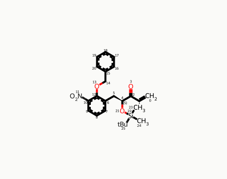 C=CC(=O)[C@H](Cc1cccc([N+](=O)[O-])c1OCc1ccccc1)O[Si](C)(C)C(C)(C)C